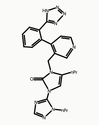 CCCc1cn(-c2ncnn2CCC)c(=O)n1Cc1cnccc1-c1ccccc1-c1nnn[nH]1